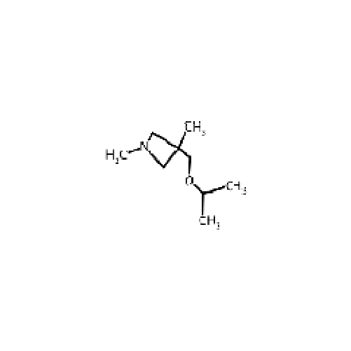 CC(C)OCC1(C)CN(C)C1